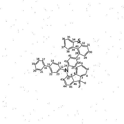 CC1(C)c2ccccc2-c2c(N(c3ccc(-c4ccccc4)cc3)c3ccc(-c4cccc5sc6ccccc6c45)cc3)cccc21